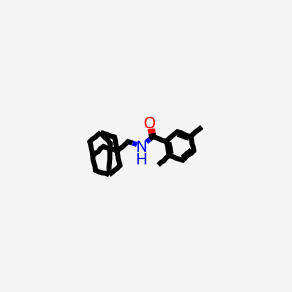 Cc1ccc(C)c(C(=O)NCC23CC4CC(CC(C4)C2)C3)c1